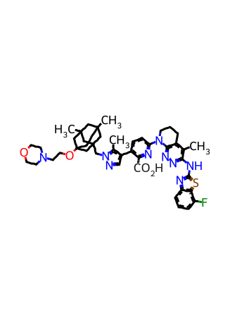 Cc1c(Nc2nc3cccc(F)c3s2)nnc2c1CCCN2c1ccc(-c2cnn(CC34CC5(C)CC(C)(C3)CC(OCCN3CCOCC3)(C5)C4)c2C)c(C(=O)O)n1